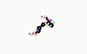 CCCc1onc(-c2c(Cl)ccnc2Cl)c1COc1ccc(-c2ccc3nc(C(=O)OC)ccc3c2)cc1